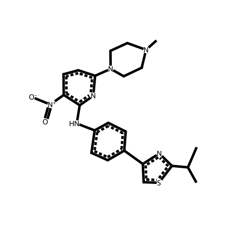 CC(C)c1nc(-c2ccc(Nc3nc(N4CCN(C)CC4)ccc3[N+](=O)[O-])cc2)cs1